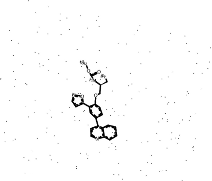 CC(C)C[C@@H](COc1ccc(-c2ccnc3ccccc23)cc1-c1ccno1)NC(=O)OC(C)(C)C